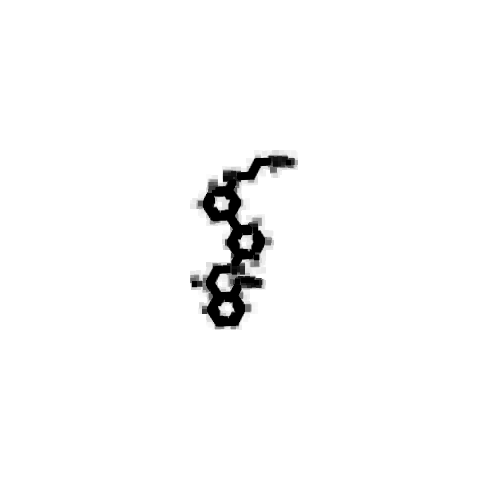 CNCCNc1cc(-c2cc(NC[C@@H](C)c3ccccc3OC)ncn2)ccn1